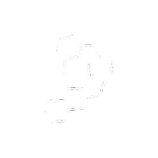 c1ccc2c(c1)cc1sc3ccc4sc5cccc6oc2c1c3c4c65